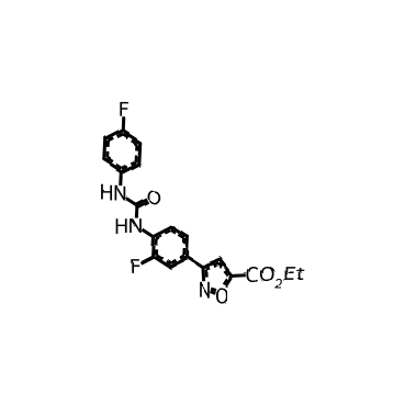 CCOC(=O)c1cc(-c2ccc(NC(=O)Nc3ccc(F)cc3)c(F)c2)no1